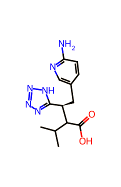 CC(C)C(C(=O)O)[C@H](Cc1ccc(N)nc1)c1nnn[nH]1